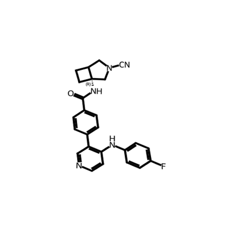 N#CN1CC2CC[C@]2(NC(=O)c2ccc(-c3cnccc3Nc3ccc(F)cc3)cc2)C1